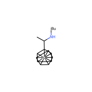 CCC(C)NC(C)[C]12[CH]3[CH]4[CH]5[CH]1[Ru]45321678[CH]2[CH]1[CH]6[CH]7[CH]28